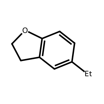 CCc1ccc2c(c1)CCO2